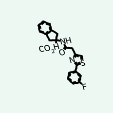 O=C(Cc1csc(-c2cccc(F)c2)n1)NC1(C(=O)O)Cc2ccccc2C1